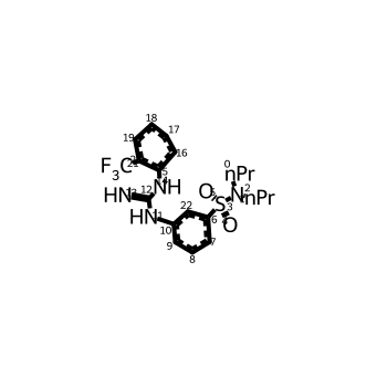 CCCN(CCC)S(=O)(=O)c1cccc(NC(=N)Nc2ccccc2C(F)(F)F)c1